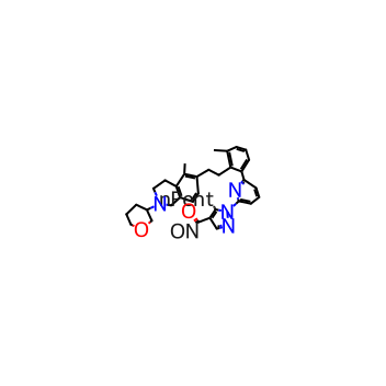 CCCCCc1c(C(=O)N=O)cnn1-c1cccc(-c2cccc(C)c2CCc2ccc3c(c2C)CCN(C2CCCOC2)C3)n1